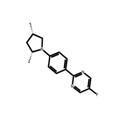 C[C@H]1C[C@@H](C)N(c2ccc(-c3ncc(F)cn3)cc2)C1